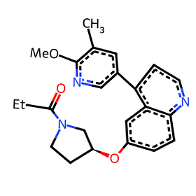 CCC(=O)N1CC[C@H](Oc2ccc3nccc(-c4cnc(OC)c(C)c4)c3c2)C1